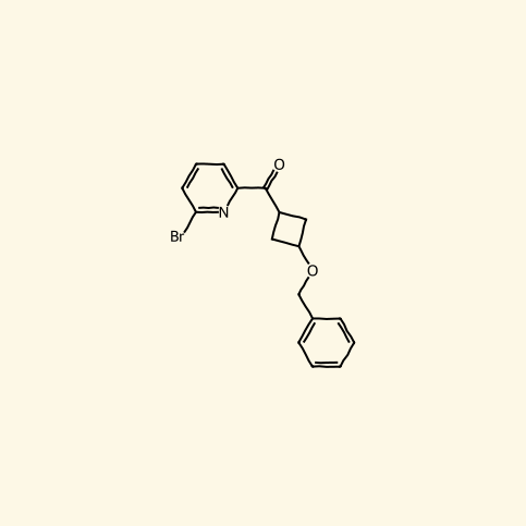 O=C(c1cccc(Br)n1)C1CC(OCc2ccccc2)C1